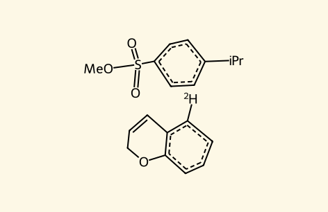 COS(=O)(=O)c1ccc(C(C)C)cc1.[2H]c1cccc2c1C=CCO2